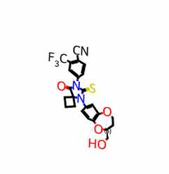 N#Cc1ccc(N2C(=O)C3(CCC3)N(c3ccc4c(c3)OCC[C@@H](CO)O4)C2=S)cc1C(F)(F)F